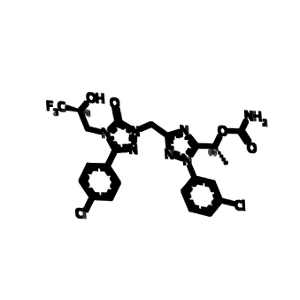 C[C@@H](OC(N)=O)c1nc(Cn2nc(-c3ccc(Cl)cc3)n(C[C@H](O)C(F)(F)F)c2=O)nn1-c1cccc(Cl)c1